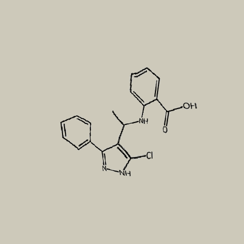 CC(Nc1ccccc1C(=O)O)c1c(-c2ccccc2)n[nH]c1Cl